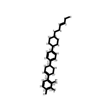 CC/C=C/CCC1CCC(c2ccc(C3CC=C(c4ccc(C)c(F)c4F)CC3)cc2)CC1